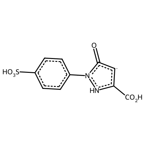 O=C(O)c1[c]c(=O)n(-c2ccc(S(=O)(=O)O)cc2)[nH]1